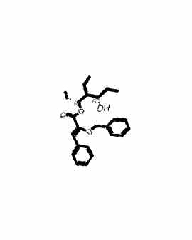 CCC([C@@H](O)CC)[C@@H](CC)OC(=O)C(=Cc1ccccc1)OCc1ccccc1